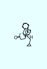 CCO[C@@]12CCC(=O)C[C@@]13CCN(CC1CC1)[C@@H]2Cc1ccccc13